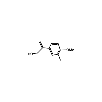 C=C(CO)c1ccc(OC)c(C)c1